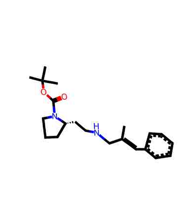 C/C(=C\c1ccccc1)CNCC[C@@H]1CCCN1C(=O)OC(C)(C)C